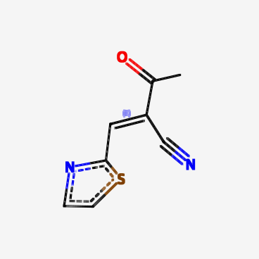 CC(=O)/C(C#N)=C/c1nccs1